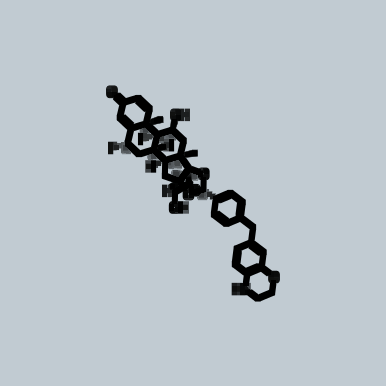 C[C@]12C=CC(=O)C=C1[C@@H](F)C[C@H]1[C@@H]3C[C@H]4O[C@@H](c5ccc(Cc6ccc7c(c6)OCCN7)cc5)O[C@@]4(C(=O)CO)[C@@]3(C)C[C@H](O)[C@@]12F